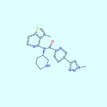 Cc1csc2ccnc(N(C(=O)c3ccc(-c4cn(C)nn4)cn3)[C@@H]3CCCNC3)c12